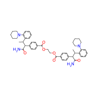 CC(c1ccccc1N1CCCCC1)C(C(N)=O)c1ccc(C(=O)OCCOC(=O)c2ccc(C(C(N)=O)C(C)c3ccccc3N3CCCCC3)cc2)cc1